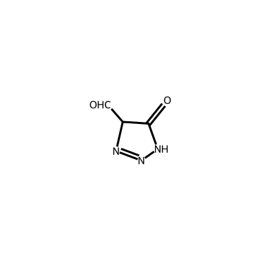 O=CC1N=NNC1=O